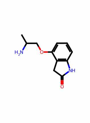 CC(N)COc1cccc2c1CC(=O)N2